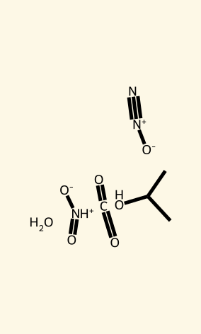 CC(C)O.N#[N+][O-].O.O=C=O.O=[NH+][O-]